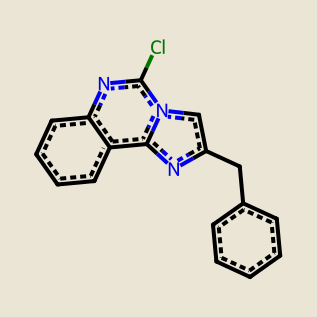 Clc1nc2ccccc2c2nc(Cc3ccccc3)cn12